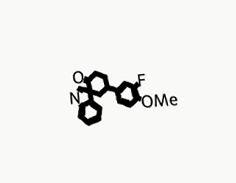 COc1ccc(C2CCC(=O)C3(C=Nc4ccccc43)C2)cc1F